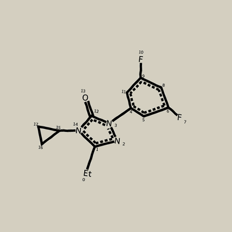 CCc1nn(-c2cc(F)cc(F)c2)c(=O)n1C1CC1